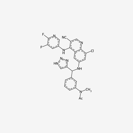 CC(=O)N(C)c1cccc(C(Nc2cc(Cl)c3ncc(C#N)c(Nc4cnc(F)c(F)c4)c3c2)c2c[nH]nn2)c1